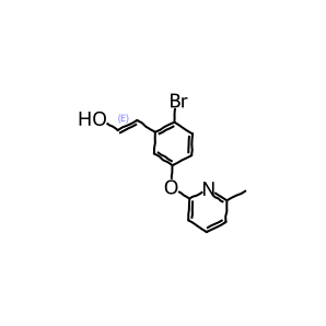 Cc1cccc(Oc2ccc(Br)c(/C=C/O)c2)n1